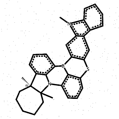 Cn1c2ccccc2c2cc3c(cc21)B1c2cccc4c2N(c2cccc(c21)S3)C1(C)CCCCC[C@@]41C